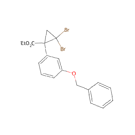 CCOC(=O)C1(c2cccc(OCc3ccccc3)c2)CC1(Br)Br